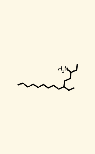 CCCCCCCCCC(CC)CCC(N)CC